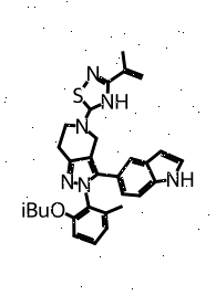 C=C(C)C1=NSC(N2CCc3nn(-c4c(C)cccc4OCC(C)C)c(-c4ccc5[nH]ccc5c4)c3C2)N1